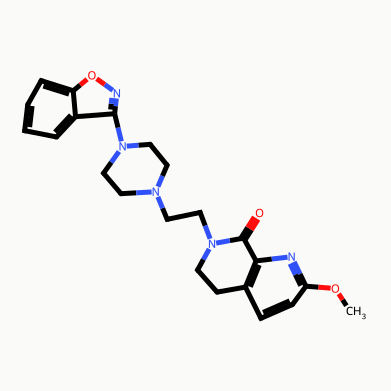 COc1ccc2c(n1)C(=O)N(CCN1CCN(c3noc4ccccc34)CC1)CC2